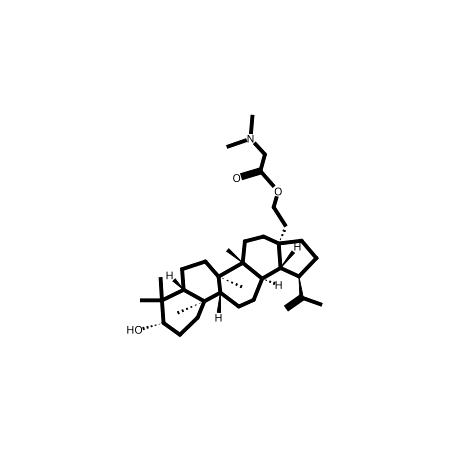 C=C(C)[C@@H]1CC[C@]2(CCOC(=O)CN(C)C)CC[C@]3(C)[C@H](CC[C@@H]4[C@@]5(C)CC[C@H](O)C(C)(C)[C@@H]5CC[C@]43C)[C@@H]12